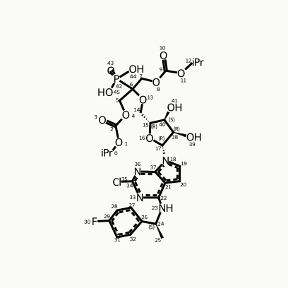 CC(C)OC(=O)OCC(COC(=O)OC(C)C)(OC[C@H]1O[C@@H](n2ccc3c(N[C@@H](C)c4ccc(F)cc4)nc(Cl)nc32)[C@H](O)[C@@H]1O)P(=O)(O)O